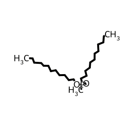 CCCCCCCCCCCCOP(C)(=O)CCCCCCCCCCCC